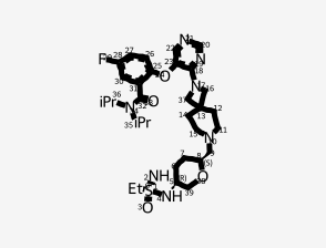 CCS(=N)(=O)N[C@@H]1CC[C@@H](CN2CCC3(CC2)CN(c2ncncc2Oc2ccc(F)cc2C(=O)N(C(C)C)C(C)C)C3)OC1